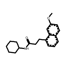 COc1ccc2cccc(CCC(=O)NC3CCCCC3)c2c1